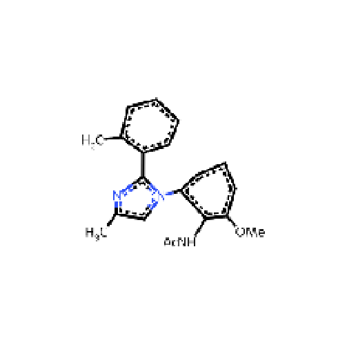 COc1cccc(-n2cc(C)nc2-c2ccccc2C)c1NC(C)=O